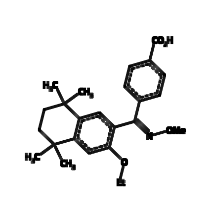 CCOc1cc2c(cc1C(=NOC)c1ccc(C(=O)O)cc1)C(C)(C)CCC2(C)C